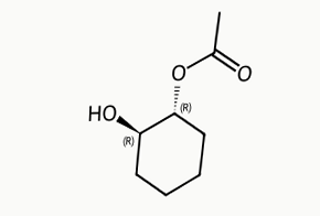 CC(=O)O[C@@H]1CCCC[C@H]1O